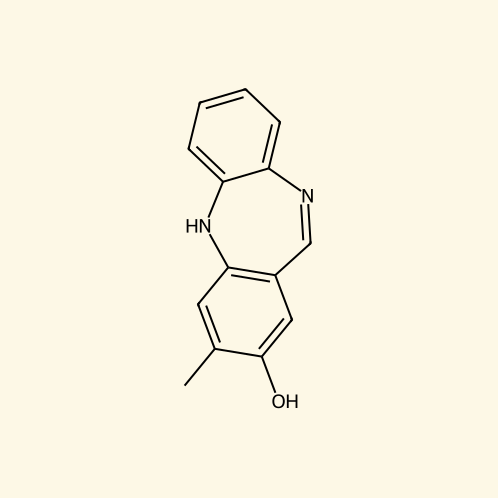 Cc1cc2c(cc1O)C=Nc1ccccc1N2